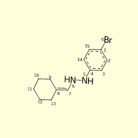 Brc1ccc(NNC=C2CCCCC2)cc1